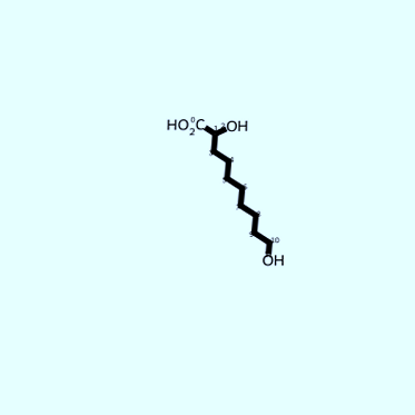 O=C(O)C(O)CCCCCCCCO